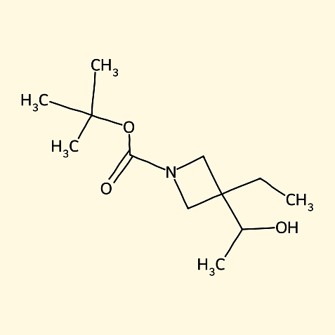 CCC1(C(C)O)CN(C(=O)OC(C)(C)C)C1